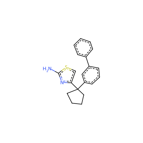 Nc1nc(C2(c3cccc(-c4ccccc4)c3)CCCC2)cs1